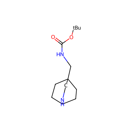 CC(C)(C)OC(=O)NCC12CCC(CC1)NC2